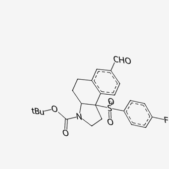 CC(C)(C)OC(=O)N1CCC2(S(=O)(=O)c3ccc(F)cc3)c3ccc(C=O)cc3CCC12